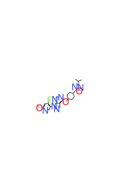 COc1cc(F)c(-n2ncc3c(OC4CCC(c5nc(C(C)C)no5)CC4)ncnc32)cn1